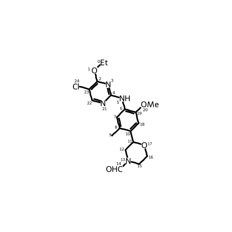 CCOc1nc(Nc2cc(C)c(C3CN(C=O)CCO3)cc2OC)ncc1Cl